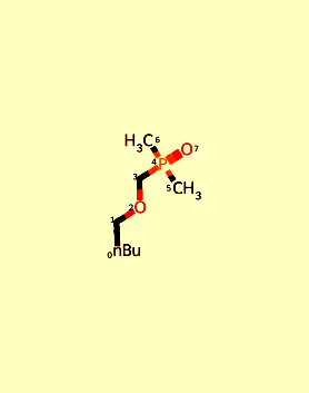 CCCCCOCP(C)(C)=O